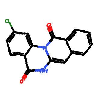 O=c1[nH]c2cc3ccccc3c(=O)n2c2cc(Cl)ccc12